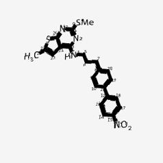 CSc1nc(NCCCc2ccc(-c3ccc([N+](=O)[O-])cc3)cc2)c2cc(C)sc2n1